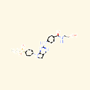 CS(=O)(=O)c1ccc(-n2ccc3cnc(Nc4ccc(C(=O)NCCO)cc4)nc32)cc1